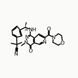 C[C@@H](Nc1nn(C)c(=O)c2cnc(C(=O)N3CCOCC3)cc12)c1cccc(C(C)(C)C#N)c1